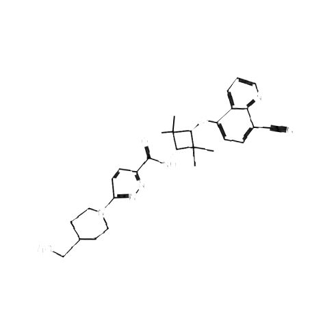 CC1(C)[C@H](NC(=O)c2ccc(N3CCC(CO)CC3)nn2)C(C)(C)[C@H]1Oc1ccc(C#N)c2ncccc12